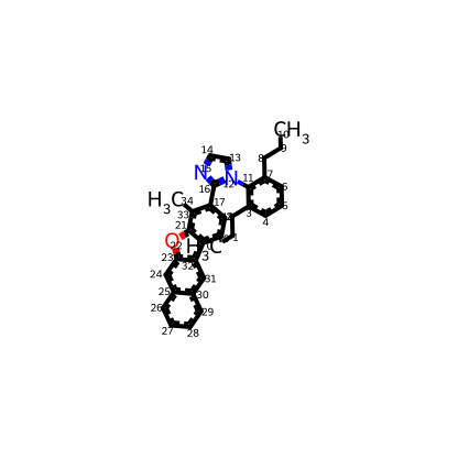 CCCc1cccc(CCC)c1-n1ccnc1-c1ccc2c(oc3cc4ccccc4cc32)c1C